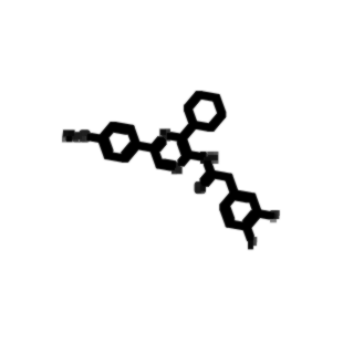 COc1ccc(-c2cnc(NC(=O)Cc3ccc(F)c(F)c3)c(C3CCCCC3)n2)cc1